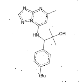 Cc1cc(NC(c2ccc(C(C)(C)C)cc2)C(C)(C)O)n2ncnc2n1